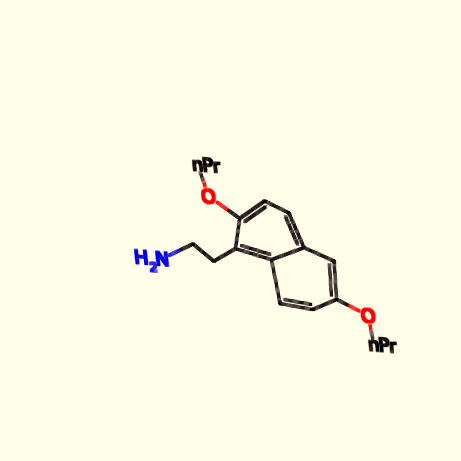 CCCOc1ccc2c(CCN)c(OCCC)ccc2c1